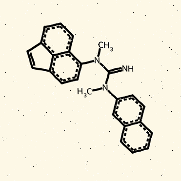 CN(C(=N)N(C)c1ccc2c3c(cccc13)C=C2)c1ccc2ccccc2c1